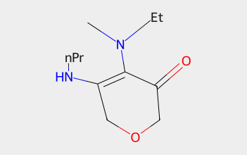 CCCNC1=C(N(C)CC)C(=O)COC1